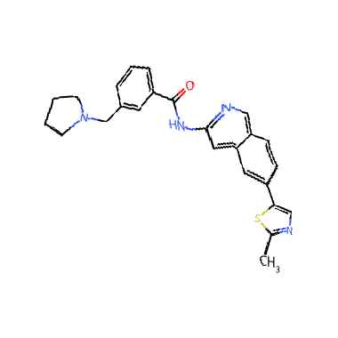 Cc1ncc(-c2ccc3cnc(NC(=O)c4cccc(CN5CCCC5)c4)cc3c2)s1